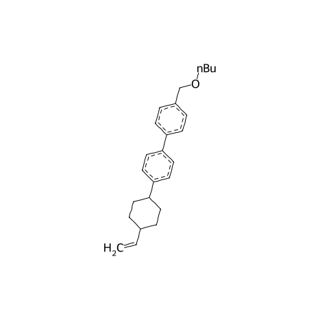 C=CC1CCC(c2ccc(-c3ccc(COCCCC)cc3)cc2)CC1